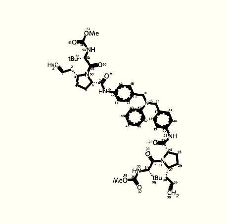 C=CC[C@H]1CC[C@@H](C(=O)Nc2ccc(CN(Cc3ccc(NC(=O)[C@@H]4CC[C@H](CC=C)N4C(=O)[C@@H](NC(=O)OC)C(C)(C)C)cc3)c3ccccc3)cc2)N1C(=O)[C@@H](NC(=O)OC)C(C)(C)C